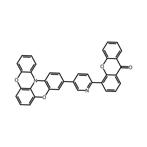 O=c1c2ccccc2oc2c(-c3ccc(-c4ccc5c(c4)Oc4cccc6c4N5c4ccccc4O6)cn3)cccc12